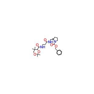 CC1(C)OCC(C)(C)C(C(=O)NCCC(=O)NC[C@H]2CCCN2C(=O)OCc2ccccc2)O1